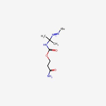 CC(C)(C)/N=N/C(C)(C)NC(=O)OCCC(N)=O